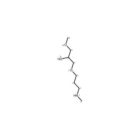 CNCCCOCC(O)COC